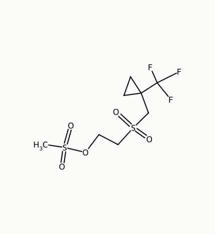 CS(=O)(=O)OCCS(=O)(=O)CC1(C(F)(F)F)CC1